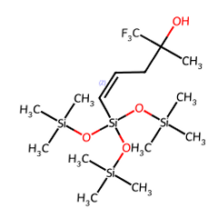 CC(O)(C/C=C\[Si](O[Si](C)(C)C)(O[Si](C)(C)C)O[Si](C)(C)C)C(F)(F)F